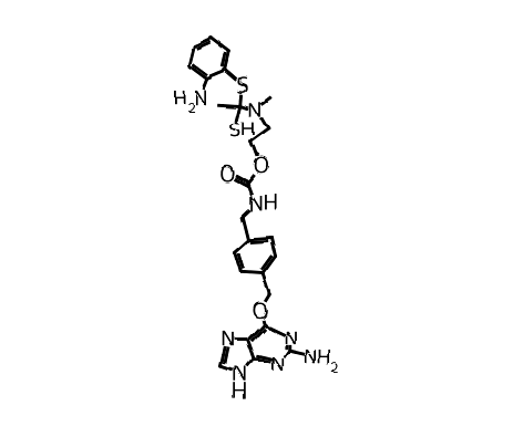 CN(CCOC(=O)NCc1ccc(COc2nc(N)nc3[nH]cnc23)cc1)C(C)(S)Sc1ccccc1N